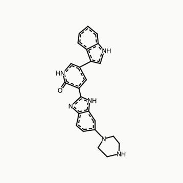 O=c1[nH]cc(-c2c[nH]c3ccccc23)cc1-c1nc2ccc(N3CCNCC3)cc2[nH]1